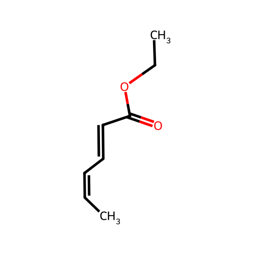 C/C=C\C=C\C(=O)OCC